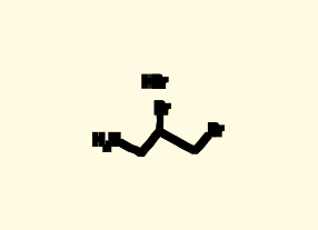 Br.NCC(Br)CBr